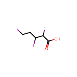 O=C(O)C(I)C(I)CCI